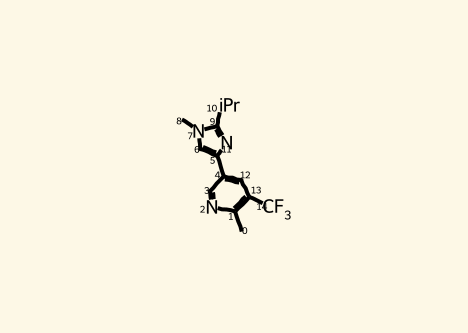 Cc1ncc(-c2cn(C)c(C(C)C)n2)cc1C(F)(F)F